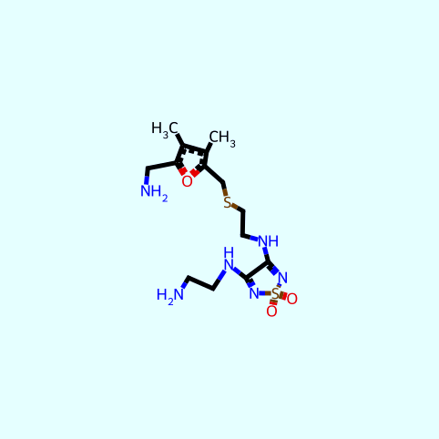 Cc1c(CN)oc(CSCCNC2=NS(=O)(=O)N=C2NCCN)c1C